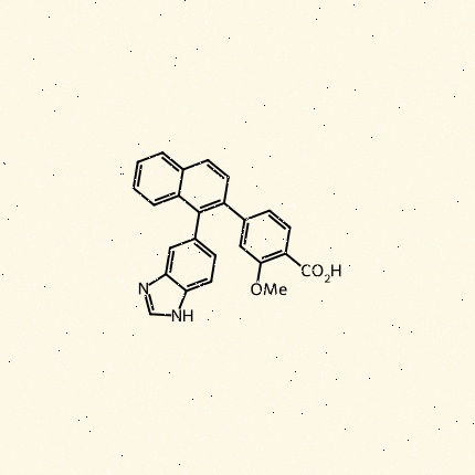 COc1cc(-c2ccc3ccccc3c2-c2ccc3[nH]cnc3c2)ccc1C(=O)O